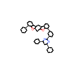 c1ccc(-c2cc(-c3ccccc3)nc(-c3cccc(-c4cccc5c4oc4cc6oc7c(-c8ccccc8)cccc7c6cc45)c3)n2)cc1